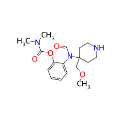 COCC1(N(C=O)c2ccccc2OC(=O)N(C)C)CCNCC1